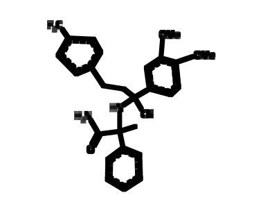 COc1ccc(C(C#N)(CCc2ccc(C(F)(F)F)cc2)NC(C)(C(N)=O)c2ccccc2)cc1OC